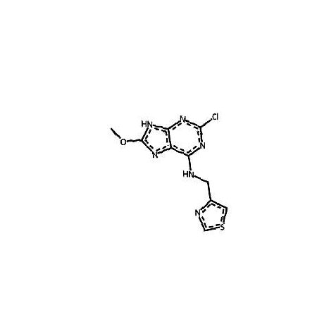 COc1nc2c(NCc3cscn3)nc(Cl)nc2[nH]1